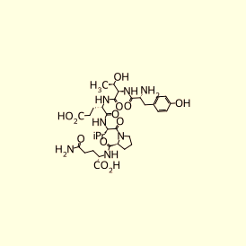 CC(C)[C@@H](NC(=O)[C@H](CCC(=O)O)NC(=O)[C@H](NC(=O)[C@H](N)Cc1ccc(O)cc1)[C@@H](C)O)C(=O)N1CCC[C@H]1C(=O)N[C@@H](CCC(N)=O)C(=O)O